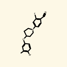 Cc1cc(OC2CCN(c3ccc(C#N)c(F)c3)CC2)ccc1Br